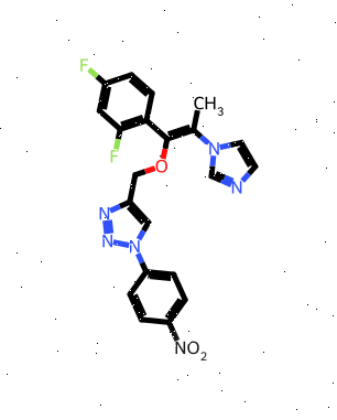 C/C(=C(/OCc1cn(-c2ccc([N+](=O)[O-])cc2)nn1)c1ccc(F)cc1F)n1ccnc1